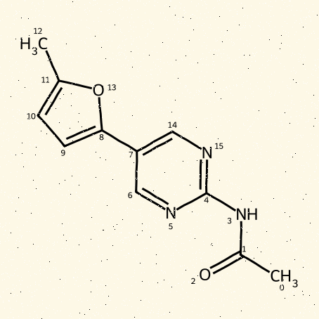 CC(=O)Nc1ncc(-c2ccc(C)o2)cn1